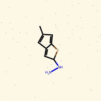 CC1=CC2=CC(NN)SC2=C1